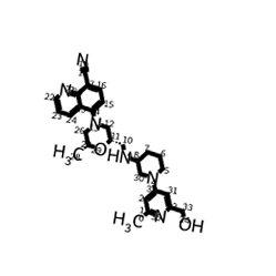 Cc1cc(N2CCCC(NC[C@H]3CN(c4ccc(C#N)c5ncccc45)C[C@@H](C)O3)C2)cc(CO)n1